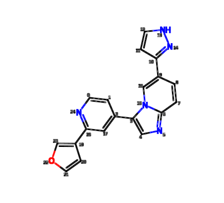 c1cc(-c2cnc3ccc(-c4cc[nH]n4)cn23)cc(-c2ccoc2)n1